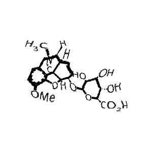 COc1ccc2c3c1O[C@H]1[C@H](OC4O[C@H](C(=O)O)[C@@H](O)[C@H](O)[C@H]4O)C=C[C@H]4[C@@H](C2)N(C)CC[C@@]341